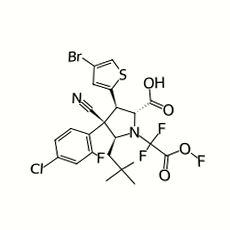 CC(C)(C)C[C@@H]1N(C(F)(F)C(=O)OF)[C@@H](C(=O)O)[C@H](c2cc(Br)cs2)[C@@]1(C#N)c1ccc(Cl)cc1F